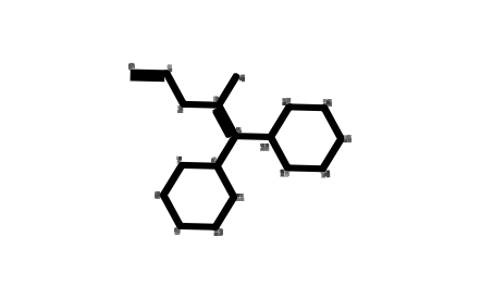 C=CCC(C)=C(C1CCCCC1)C1CCCCC1